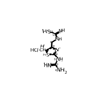 Cl.Cl.N=C(N)Nc1nc(CNC(=N)S)cs1